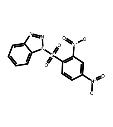 O=[N+]([O-])c1ccc(S(=O)(=O)n2nnc3ccccc32)c([N+](=O)[O-])c1